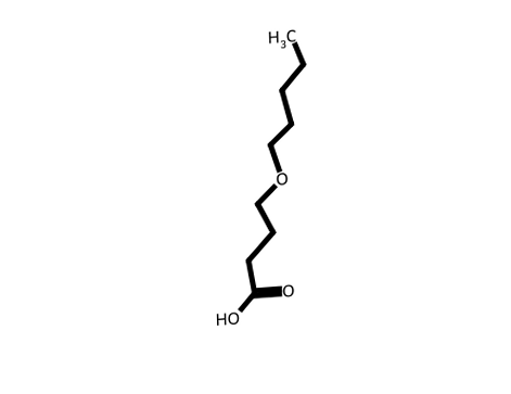 CCCCCOCCCC(=O)O